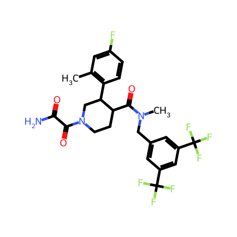 Cc1cc(F)ccc1C1CN(C(=O)C(N)=O)CCC1C(=O)N(C)Cc1cc(C(F)(F)F)cc(C(F)(F)F)c1